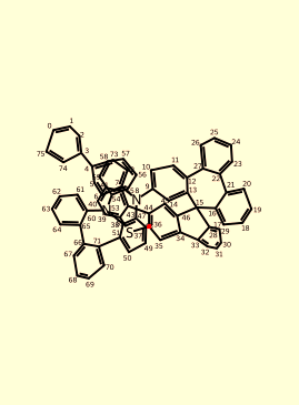 c1ccc(-c2ccc(N(c3ccc4c(c3)C3(c5ccccc5-c5ccccc5-4)c4ccccc4-c4cc5sc6ccccc6c5cc43)c3cccc4c3N(c3ccccc3)c3ccccc3-c3ccccc3-4)cc2)cc1